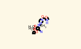 COc1c(/N=C(\C)N2CCCN(C(=O)C3CNCCO3)CC2)cc(C#N)c(OC2CCCC2)c1OC